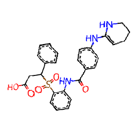 O=C(O)CC(c1ccccc1)S(=O)(=O)c1ccccc1NC(=O)c1ccc(NC2=CCCCN2)cc1